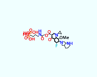 COc1c(N2CC3CCCNC3C2)c(F)cc2c(=O)c(C(=O)OCC(=O)NCCCC(P(=O)(O)O)P(=O)(O)O)cn(C3CC3)c12